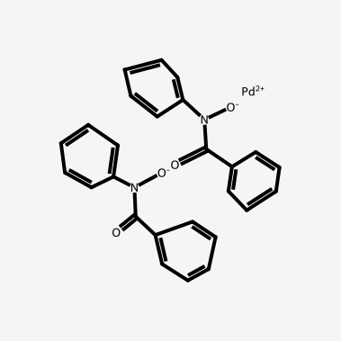 O=C(c1ccccc1)N([O-])c1ccccc1.O=C(c1ccccc1)N([O-])c1ccccc1.[Pd+2]